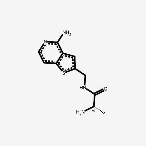 C[C@H](N)C(=O)NCc1cc2c(N)nccc2s1